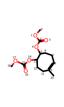 COC(=O)OC1CCC=C(C)CCC1OC(=O)OC